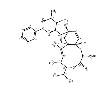 CO[C@H]1C[C@H]2C=C[C@@H]3C[C@]2(O[C@H]3[C@@H](NCc2ccncc2)C(C)[C@H](C)O)/C(C)=C/[C@@H](C)[C@@H]([C@@H](C)O)OC1=O